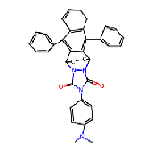 CN(C)c1ccc(-n2c(=O)n3n(c2=O)C2CCC3c3c(-c4ccccc4)c4c(c(-c5ccccc5)c32)CCC=C4)cc1